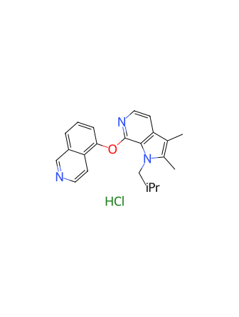 Cc1c(C)n(CC(C)C)c2c(Oc3cccc4cnccc34)nccc12.Cl